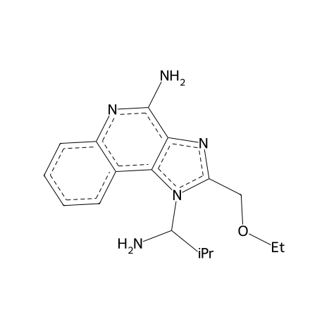 CCOCc1nc2c(N)nc3ccccc3c2n1C(N)C(C)C